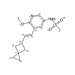 COc1ncc(NS(C)(=O)=O)cc1/C=C/C1CC2(CC2)C1